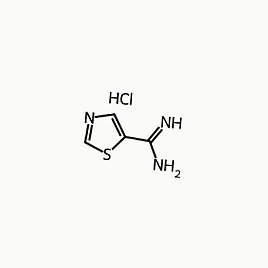 Cl.N=C(N)c1cncs1